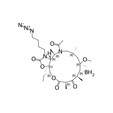 B[C@@H]1[C@@H](C)C(=O)[C@@H](C)C(=O)O[C@H](CC)[C@@]2(C)OC(=O)N(CCCCN=[N+]=[N-])[C@@H]2[C@@H](C)N(C(C)=O)C[C@H](C)C[C@@]1(C)OC